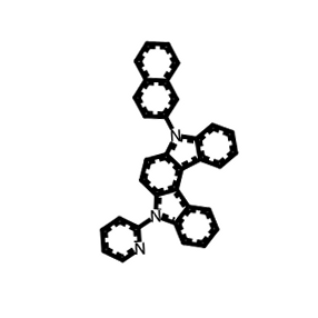 c1ccc(-n2c3ccccc3c3c4c5ccccc5n(-c5ccc6ccccc6c5)c4ccc32)nc1